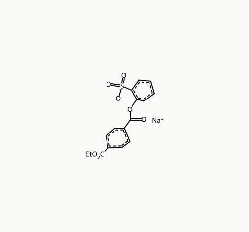 CCOC(=O)c1ccc(C(=O)Oc2ccccc2S(=O)(=O)[O-])cc1.[Na+]